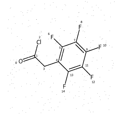 O=C(Cl)Cc1c(F)c(F)c(F)c(F)c1F